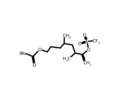 C=C(OS(=O)(=O)C(F)(F)F)C(C)CC(C)CCCOC(=O)C(C)(C)C